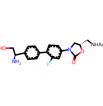 CC(=O)NC[C@H]1CN(c2ccc(-c3ccc([C@@H](N)CO)cc3)c(F)c2)C(=O)O1